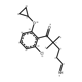 CC(C)(CCC=N)C(=O)c1c(Cl)cccc1OC1CC1